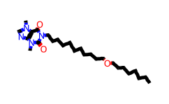 CCCCCCCCOCCCCCCCCCCCn1c(=O)c2c(ncn2C)n(C)c1=O